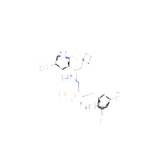 CC(=O)N[C@@H](Cc1cc(F)cc(F)c1)[C@H](O)CN[C@H]1CC2(CCC2)Oc2ncc(Br)cc21